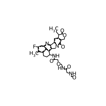 CCC1C(=O)OCc2c1cc1n(c2=O)Cc2c-1nc1cc(F)c(C)c3c1c2C(NC(=O)COCNC(=O)CNC=O)CC3